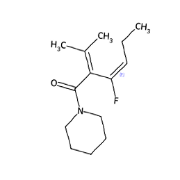 CC/C=C(/F)C(C(=O)N1CCCCC1)=C(C)C